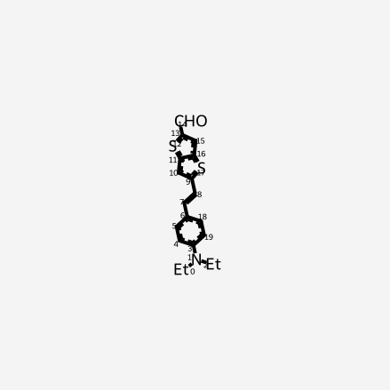 CCN(CC)c1ccc(/C=C/c2cc3sc(C=O)cc3s2)cc1